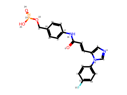 O=C(C=Cc1cncn1-c1ccc(F)cc1)Nc1ccc(CO[PH](=O)O)cc1